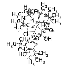 CCC(Cc1cc(C(C)(C)C)c(O)c(C(C)(C)C)c1)C(C1CC(C)(C)N(C)C(C)(C)C1)(C1CC(C)(C)N(C)C(C)(C)C1)C(C(=O)O)C(=O)O